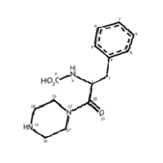 O=C(O)NC(Cc1ccccc1)C(=O)N1CCNCC1